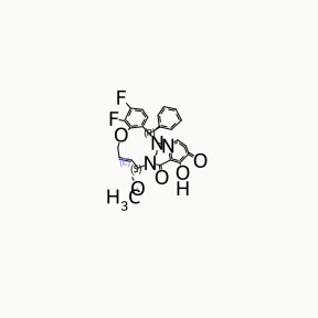 COC[C@@H]1/C=C/COc2c(ccc(F)c2F)[C@@H](c2ccccc2)N2CN1C(=O)c1c(O)c(=O)ccn12